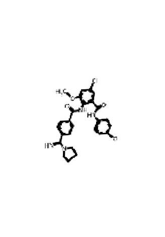 COc1cc(Cl)cc(C(=O)Nc2ccc(Cl)cc2)c1NC(=O)c1ccc(C(=N)N2CCCC2)cc1